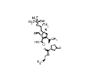 C=CCOC(=O)N1CC(F)C[C@H]1/C=C(\C)C1=C(C(=O)O)N2C(=O)[C@H]([C@@H](C)O[Si](C)(C)C)[C@H]2C1